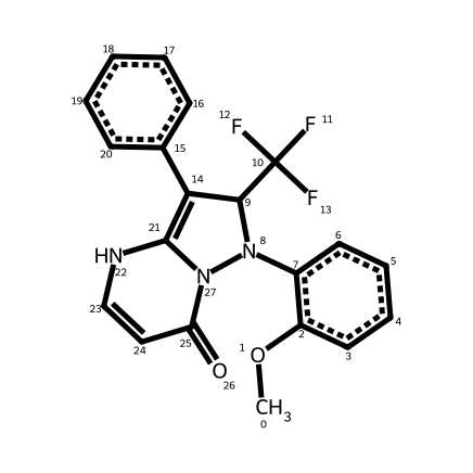 COc1ccccc1N1C(C(F)(F)F)C(c2ccccc2)=C2NC=CC(=O)N21